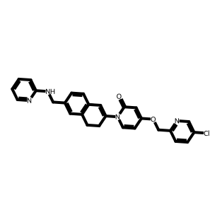 O=c1cc(OCc2ccc(Cl)cn2)ccn1C1=Cc2ccc(CNc3ccccn3)cc2CC1